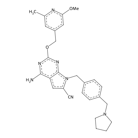 COc1cc(COc2nc(N)c3cc(C#N)n(Cc4ccc(CN5CCCC5)cc4)c3n2)cc(C)n1